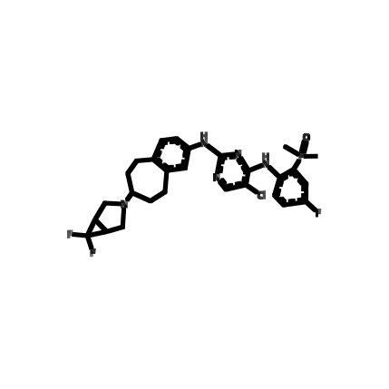 CP(C)(=O)c1cc(F)ccc1Nc1nc(Nc2ccc3c(c2)CCC(N2CC4C(C2)C4(F)F)CC3)ncc1Cl